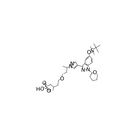 CC(CCOCCC(C)n1cc(-c2nn(C3CCCCO3)c3ccc(O[Si](C)(C)C(C)(C)C)cc23)cn1)CS(=O)(=O)O